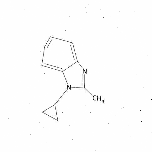 Cc1nc2ccccc2n1C1CC1